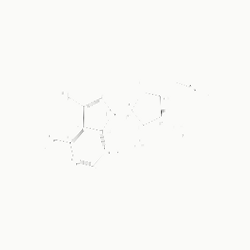 NC[C@H]1O[C@@H](n2cc(I)c3c(N)ncnc32)[C@@H](O)[C@H]1O